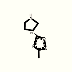 Cc1noc([C@@H]2CCNC2)n1